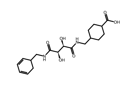 O=C(O)C1CCC(CNC(=O)[C@H](O)[C@@H](O)C(=O)NCC2C=CC=CC2)CC1